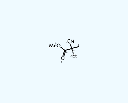 CCC(C)(C#N)C(=O)OC